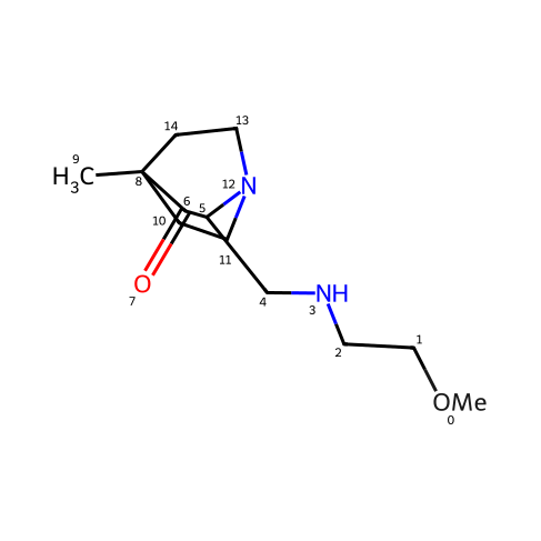 COCCNCC1C(=O)C2(C)CCN1CC2